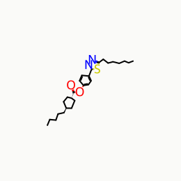 CCCCCCCc1nnc(-c2ccc(OC(=O)[C@H]3CC[C@H](CCCCC)CC3)cc2)s1